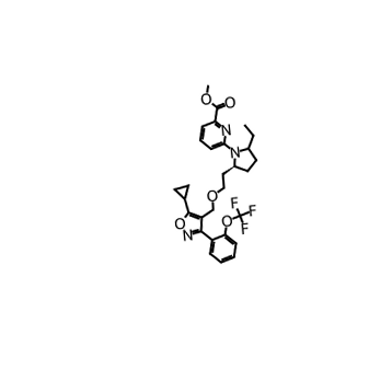 CCC1CC[C@@H](CCOCc2c(-c3ccccc3OC(F)(F)F)noc2C2CC2)N1c1cccc(C(=O)OC)n1